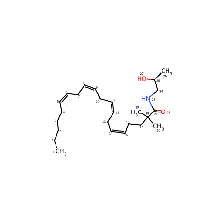 CCCCC/C=C\C/C=C\C/C=C\C/C=C\CCC(C)(C)C(=O)NC[C@H](C)O